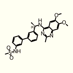 COc1cc2nc(C)nc(N[C@H](C)c3cccc(-c4cccc(NS(C)(=O)=O)c4)c3)c2cc1OC